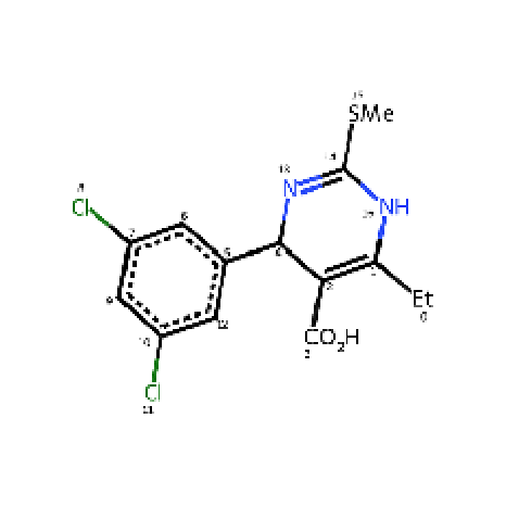 CCC1=C(C(=O)O)C(c2cc(Cl)cc(Cl)c2)N=C(SC)N1